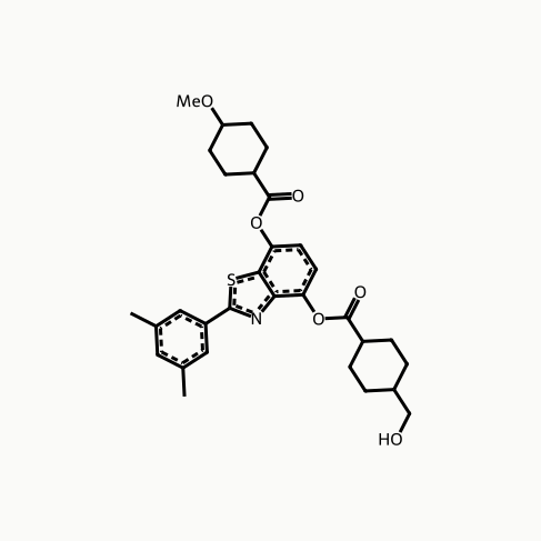 COC1CCC(C(=O)Oc2ccc(OC(=O)C3CCC(CO)CC3)c3nc(-c4cc(C)cc(C)c4)sc23)CC1